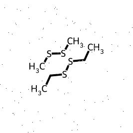 CCSSCC.CSSC